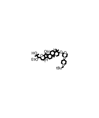 CCO[C@@H](C1C[C@@H](C)[C@H]2C(O1)[C@H](O)[C@@]1(C)C3CC[C@H]4C(C)(C)[C@@H](O[C@H]5CN(C6CCN(CC(C)(C)C)CC6)CCO5)CC[C@@]45C[C@@]35CC[C@]21C)C(C)(C)O